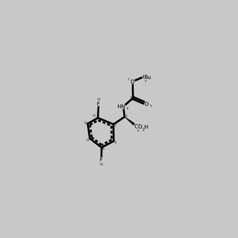 CC(C)(C)OC(=O)N[C@@H](C(=O)O)c1cc(F)ccc1F